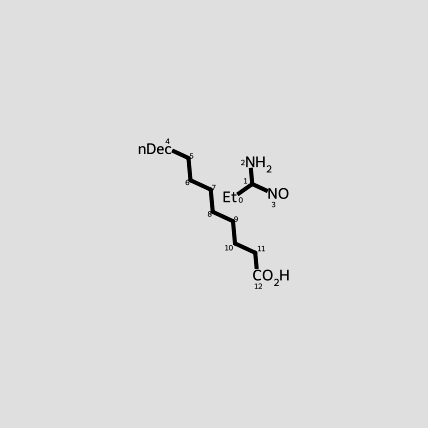 CCC(N)N=O.CCCCCCCCCCCCCCCCCC(=O)O